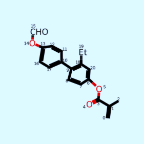 C=C(C)C(=O)Oc1ccc(-c2ccc(OC=O)cc2)c(CC)c1